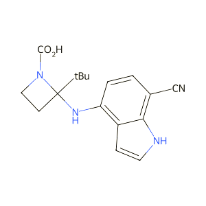 CC(C)(C)C1(Nc2ccc(C#N)c3[nH]ccc23)CCN1C(=O)O